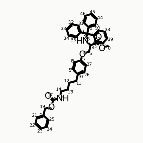 COC(=O)C(COc1ccc(CCCCNC(=O)OCc2ccccc2)cc1)NC(c1ccccc1)(c1ccccc1)c1ccccc1